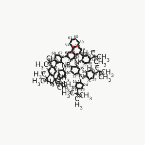 CC(C)(C)c1ccc(N2B3c4ccc(N(c5ccc(C(C)(C)C)cc5)c5ccc(C(C)(C)C)cc5)cc4N(c4ccc(C(C)(C)C)cc4-c4ccccc4)c4cc(-c5ccccc5)cc(c43)-c3ccc4c(c32)-c2cc3c(cc2C4(C)C)C(C)(C)CCC3(C)C)cc1